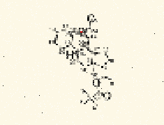 CC(OC(=O)C(C)(C)C)[C@H]1CCC2=C3C=CC4=CC=CC[C@]4(COC=O)[C@H]3CC[C@@]21C